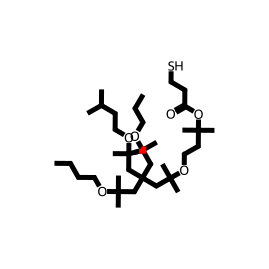 CCCCOC(C)(C)CC(CC(C)(C)OCCC)(CC(C)(C)OCCC(C)C)CC(C)(C)OCCC(C)(C)OC(=O)CCS